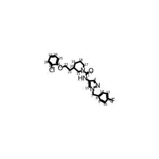 O=C(Nc1cnn(Cc2ccc(F)cc2)c1)N1CCCC(CCOc2ccccc2Cl)C1